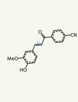 COc1cc(/C=C/C(=O)c2ccc(C#N)cc2)ccc1O